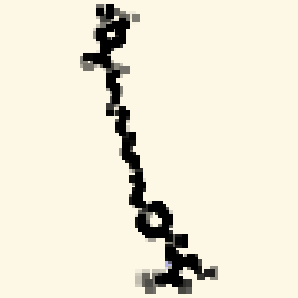 CN1CC(C(=O)NCCOCCOCCOCCN2CCC(N/C=C(\C=N)C(N)=O)CC2)CC1=O